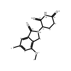 COc1cc(I)cc2c1CN(C1CCC(=O)NC1=O)C2=O